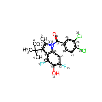 Cc1c(C(C)(C)C(=O)O)c2c(F)c(O)c(F)cc2n1C(=O)c1ccc(Cl)c(Cl)c1